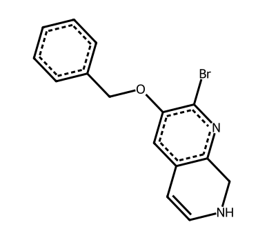 Brc1nc2c(cc1OCc1ccccc1)C=CNC2